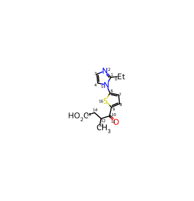 CCc1nccn1-c1ccc(C(=O)C(C)CC(=O)O)s1